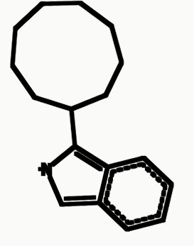 C1=c2ccccc2=C(C2CCCCCCCC2)[N]1